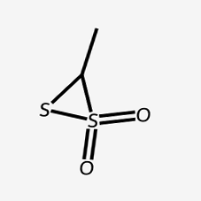 CC1SS1(=O)=O